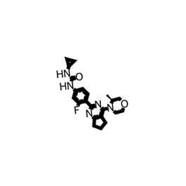 C[C@H]1COCCN1c1nc(-c2ccc(NC(=O)NC3CC3)cc2F)nc2c1CCC2